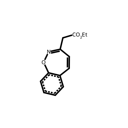 CCOC(=O)CC1=NOc2ccccc2C=C1